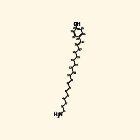 NCCCCCCCCCCCCCCCCCC=Cc1ccc(O)cc1